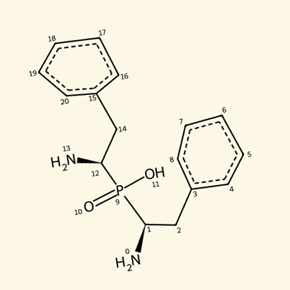 N[C@H](Cc1ccccc1)P(=O)(O)[C@@H](N)Cc1ccccc1